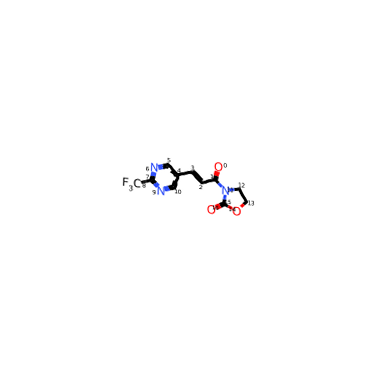 O=C(/C=C/c1cnc(C(F)(F)F)nc1)N1CCOC1=O